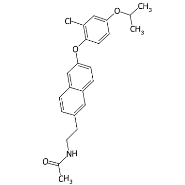 CC(=O)NCCc1ccc2cc(Oc3ccc(OC(C)C)cc3Cl)ccc2c1